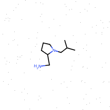 CC(C)CN1CCCC1CN